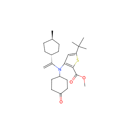 C=C([C@H]1CC[C@H](C)CC1)N(c1cc(C(C)(C)C)sc1C(=O)OC)C1CCC(=O)CC1